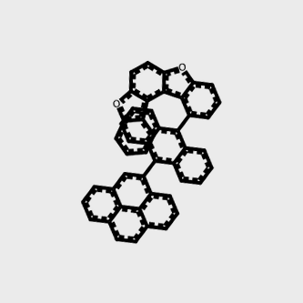 c1cc2ccc3cccc4c(-c5c6ccccc6c(-c6cccc7oc8ccc9oc%10ccccc%10c9c8c67)c6ccccc56)cc(c1)c2c34